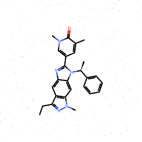 CCc1nn(C)c2cc3c(cc12)nc(-c1cc(C)c(=O)n(C)c1)n3[C@@H](C)c1ccccc1